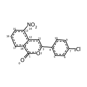 O=c1oc(-c2ccc(Cl)cc2)cc2c([N+](=O)[O-])cccc12